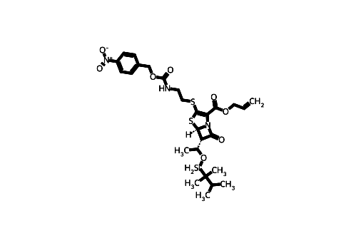 C=CCOC(=O)C1=C(SCCNC(=O)OCc2ccc([N+](=O)[O-])cc2)S[C@@H]2[C@@H](C(C)O[SiH2]C(C)(C)C(C)C)C(=O)N12